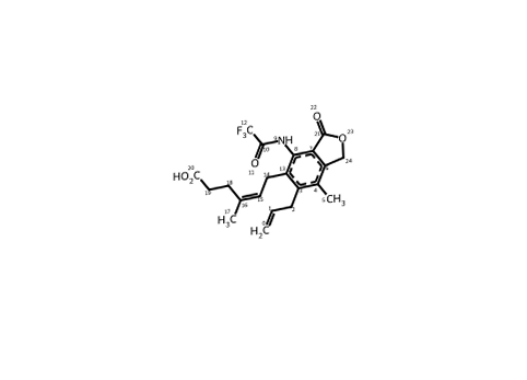 C=CCc1c(C)c2c(c(NC(=O)C(F)(F)F)c1CC=C(C)CCC(=O)O)C(=O)OC2